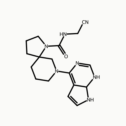 N#CCNC(=O)N1CCCC12CCCN(C1=C3C=CNC3NC=N1)C2